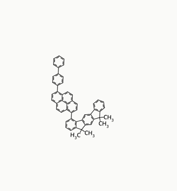 CC1(C)c2ccccc2-c2cc3c(cc21)C(C)(C)c1cccc(-c2ccc4ccc5c(-c6ccc(-c7ccccc7)cc6)ccc6ccc2c4c65)c1-3